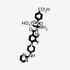 NC(CC(=O)O)(NC(=O)c1ccc(N2CCC(Nc3ncccn3)CC2)c(F)c1F)S(=O)(=O)c1ccc(C(=O)O)cc1